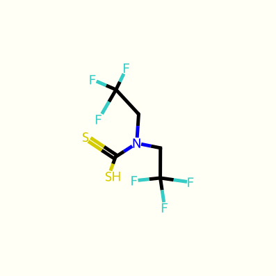 FC(F)(F)CN(CC(F)(F)F)C(=S)S